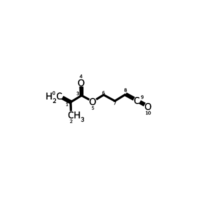 C=C(C)C(=O)OCCC=C=O